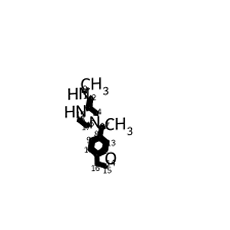 CN/C=C1/CN(C(C)c2ccc3c(c2)OCC3)CCN1